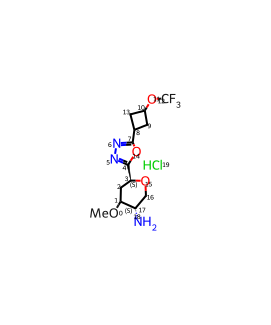 COC1C[C@@H](c2nnc(C3CC(OC(F)(F)F)C3)o2)OC[C@@H]1N.Cl